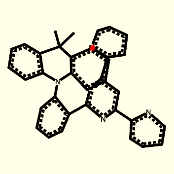 CC1(C)c2ccccc2N(c2ccccc2-c2nc(-c3ccccn3)cc(-c3ccccn3)n2)c2ccccc21